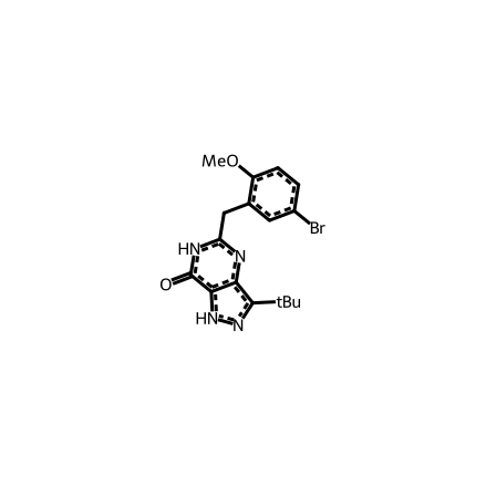 COc1ccc(Br)cc1Cc1nc2c(C(C)(C)C)n[nH]c2c(=O)[nH]1